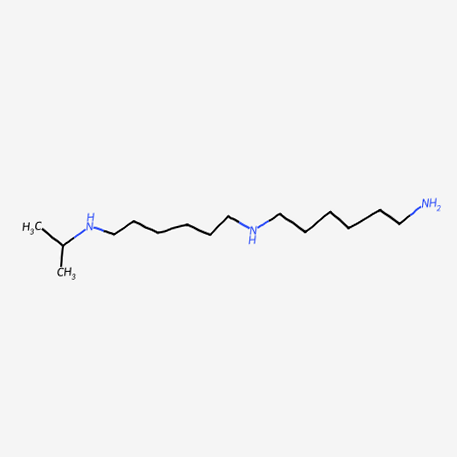 CC(C)NCCCCCCNCCCCCCN